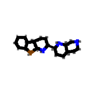 c1ccc2c(c1)sc1nc(-c3ccc4ccncc4n3)ccc12